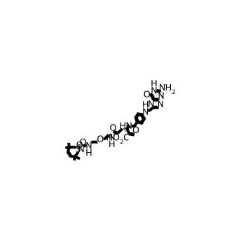 C=C(C(=O)O)[C@H](CCC(=O)NCCOCCNC(=O)N=S1(=O)CC(C)(C)C=CC(C)(C)C1)NC(=O)c1ccc(NCc2cnc3nc(N)[nH]c(=O)c3n2)cc1